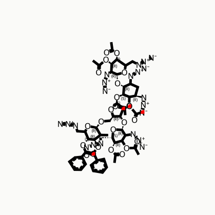 CC(=O)OC1[C@H](O[C@@H]2C(OC(C)=O)[C@H](N=[N+]=[N-])CC(N=[N+]=[N-])[C@H]2O[C@H]2OC(CN=[N+]=[N-])[C@@H](OC(C)=O)[C@H](OC(C)=O)C2N=[N+]=[N-])O[C@H](CO[C@@H]2OC(CN=[N+]=[N-])[C@@H](OC(=O)c3ccccc3)[C@H](OC(=O)c3ccccc3)C2C)[C@@H]1O[C@H]1O[C@@H](CN=[N+]=[N-])[C@@H](OC(C)=O)C(OC(C)=O)C1N=[N+]=[N-]